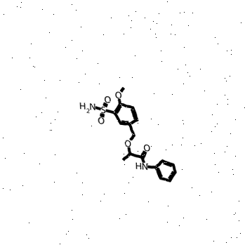 COc1ccc(COC(C)C(=O)Nc2ccccc2)cc1S(N)(=O)=O